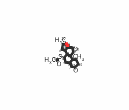 CC(=O)S[C@@H]1CC2=CC(=O)CCC2(C)C2=C1C1=CC[C@@]3(C)CCC(=O)C13CC2